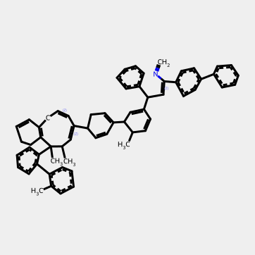 C=N/C(=C\C(C1=CC(C2=CCC(C3=C/C(C)C(C)(c4ccccc4-c4ccccc4C)C4=C(C=CCC4)C/C=C\3)C=C2)C(C)C=C1)c1ccccc1)c1ccc(-c2ccccc2)cc1